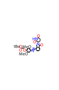 COc1cc(/N=N/c2cccc3c2CN(C2CCC(=O)NC2=O)C3=O)cc(OC)c1OCC(=O)OC(C)(C)C